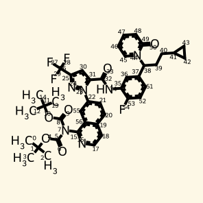 CC(C)(C)OC(=O)N(C(=O)OC(C)(C)C)c1nccc2ccc(-n3nc(C(F)(F)F)cc3C(=O)Nc3cc(C(CCC4CC4)n4ccccc4=O)ccc3F)cc12